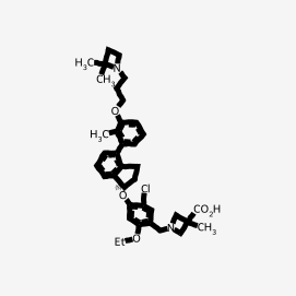 CCOc1cc(O[C@H]2CCc3c(-c4cccc(OCCCN5CCC5(C)C)c4C)cccc32)c(Cl)cc1CN1CC(C)(C(=O)O)C1